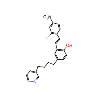 O=[N+]([O-])c1ccc(/C=C/c2cc(CCCCc3cccnc3)ccc2O)c(F)c1